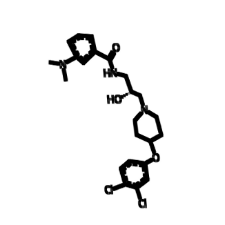 CN(C)c1cccc(C(=O)NC[C@@H](O)CN2CCC(Oc3ccc(Cl)c(Cl)c3)CC2)c1